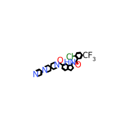 O=C(NC1CCc2ccc(C(=O)N3CCC4(CC3)CCN(c3ccncc3)CC4)cc21)c1cc(C(F)(F)F)ccc1Cl